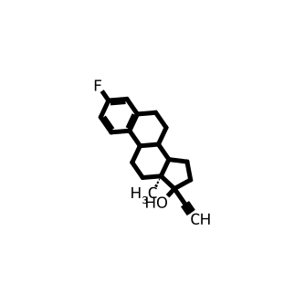 C#CC1(O)CCC2C3CCc4cc(F)ccc4C3CC[C@@]21C